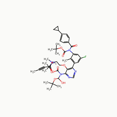 CC#CC(=O)N(C)CCOc1c(-c2cc(F)cc(N(C(=O)OC(C)(C)C)C(=O)c3ccc(C4CC4)cc3)c2C)ncnc1N(C(=O)OC(C)(C)C)C(O)OC(C)(C)C